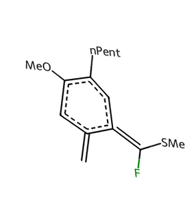 C=c1cc(OC)c(CCCCC)c/c1=C(/F)SC